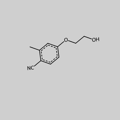 Cc1cc(OCCO)ccc1C#N